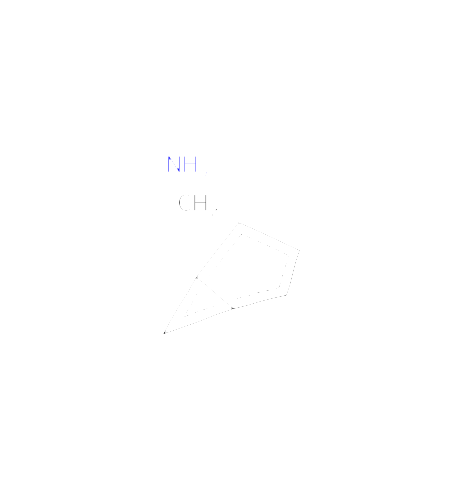 C.N.c1cc2cc-2c1